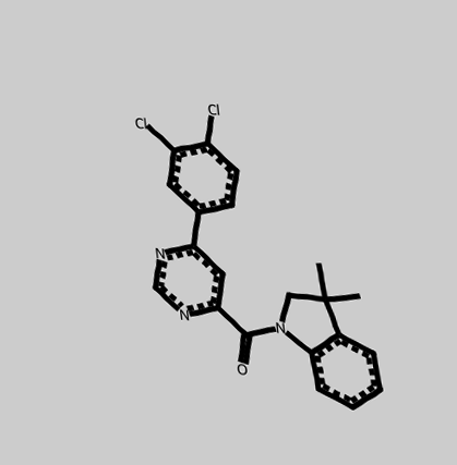 CC1(C)CN(C(=O)c2cc(-c3ccc(Cl)c(Cl)c3)ncn2)c2ccccc21